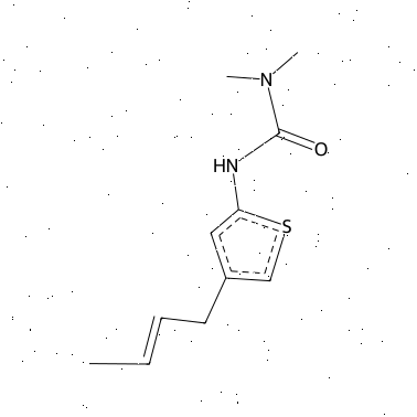 CC=CCc1csc(NC(=O)N(C)C)c1